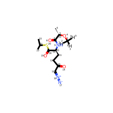 [2H]C([2H])([2H])O[C@@H](C)C(=O)N[C@@H](CCC(=O)C=[N+]=[N-])C(=O)SC(C)C